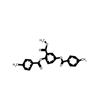 COC(=O)c1cc(OC(=O)c2ccc(C)cc2)ccc1OC(=O)c1ccc(C)cc1